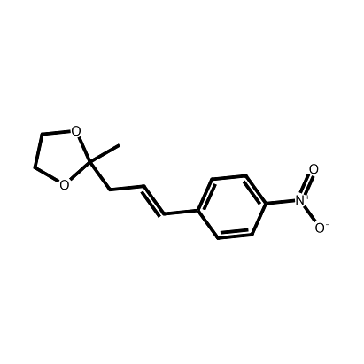 CC1(C/C=C/c2ccc([N+](=O)[O-])cc2)OCCO1